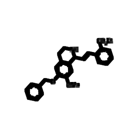 CCOC(=O)c1ccccc1C=CC1NCCc2cc(OCc3ccccc3)c(OC)cc21